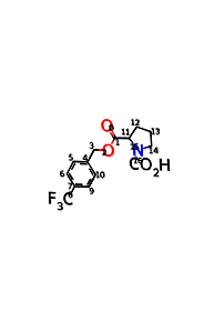 O=C(OCc1ccc(C(F)(F)F)cc1)C1CCCN1C(=O)O